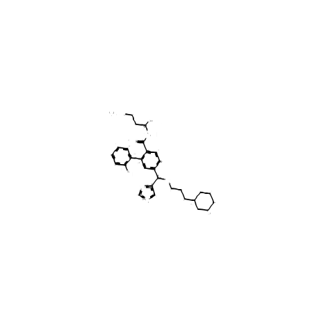 CSCCC(NC(=O)c1ccc(C(OCCCC2CCCCC2)c2cnco2)cc1-c1ccccc1C)C(=O)O